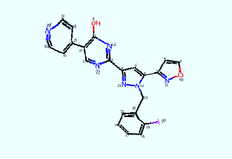 Oc1nc(-c2cc(-c3ccon3)n(Cc3ccccc3I)n2)ncc1-c1ccncc1